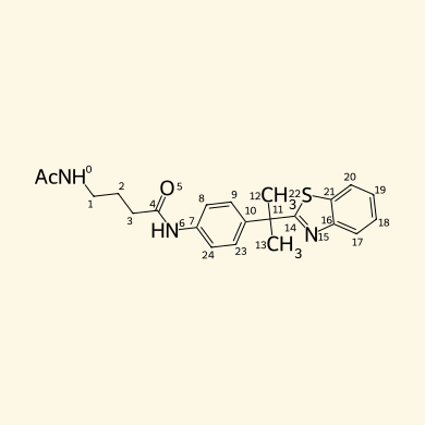 CC(=O)NCCCC(=O)Nc1ccc(C(C)(C)c2nc3ccccc3s2)cc1